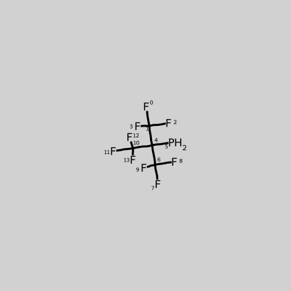 FC(F)(F)C(P)(C(F)(F)F)C(F)(F)F